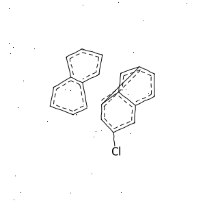 Clc1cc2ccc3cc2c3c1.[c]1ccc2ccccc2c1